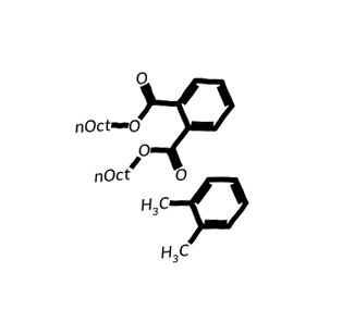 CCCCCCCCOC(=O)c1ccccc1C(=O)OCCCCCCCC.Cc1ccccc1C